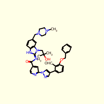 CN1CCN(Cc2ccc3[nH]/c(=N\C(=O)c4ccnc(-n5cc(-c6cccc(OCc7ccccc7)c6C=O)cn5)c4)n(CC(C)(C)O)c3c2)CC1